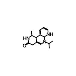 CC1NC(=O)CC2=CN(C(C)C)C3NC=CC=C3C21